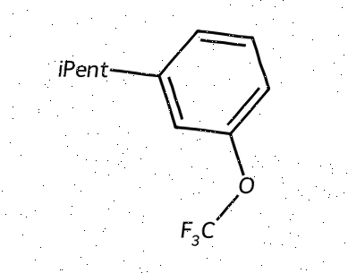 CCCC(C)c1cccc(OC(F)(F)F)c1